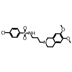 COc1cc2c(cc1OC)CN(CCCNS(=O)(=O)c1ccc(Cl)cc1)CC2